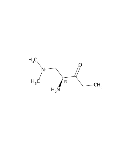 CCC(=O)[C@@H](N)CN(C)C